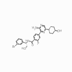 Nc1ncc(C2CCC(O)CC2)nc1-c1ccc(C(=O)N[C@H](CO)c2cccc(Br)c2)c(F)c1